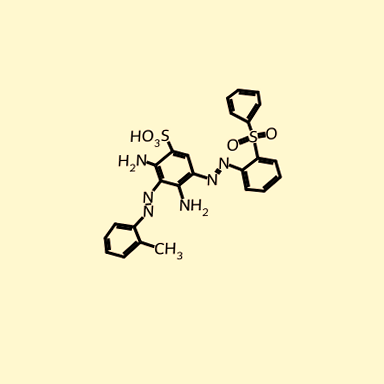 Cc1ccccc1/N=N/c1c(N)c(/N=N/c2ccccc2S(=O)(=O)c2ccccc2)cc(S(=O)(=O)O)c1N